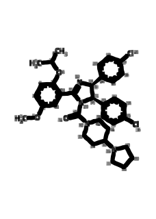 COc1ccc(OC(C)C)c(C2=N[C@@H](c3ccc(Cl)cc3)[C@@H](c3ccc(Cl)cc3)N2C(=O)N2CCC(N3CCCC3)CC2)c1